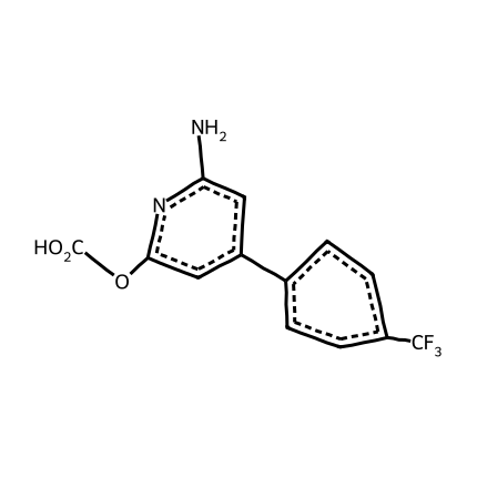 Nc1cc(-c2ccc(C(F)(F)F)cc2)cc(OC(=O)O)n1